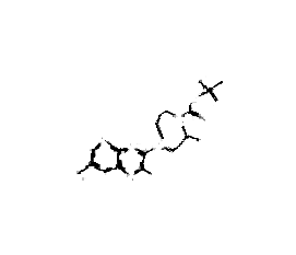 CC1CN(c2nc3ncc(Cl)cc3nc2Cl)CCN1C(=O)OC(C)(C)C